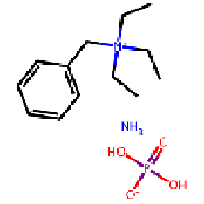 CC[N+](CC)(CC)Cc1ccccc1.N.O=P([O-])(O)O